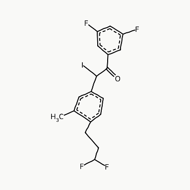 Cc1cc(C(I)C(=O)c2cc(F)cc(F)c2)ccc1CCC(F)F